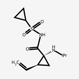 C=C[C@@H]1C[C@]1(NC(C)C)C(=O)NS(=O)(=O)C1CC1